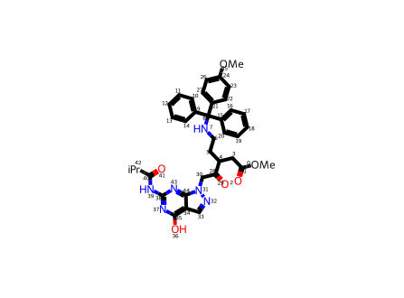 COC(=O)CC(CCNC(c1ccccc1)(c1ccccc1)c1ccc(OC)cc1)C(=O)Cn1ncc2c(O)nc(NC(=O)C(C)C)nc21